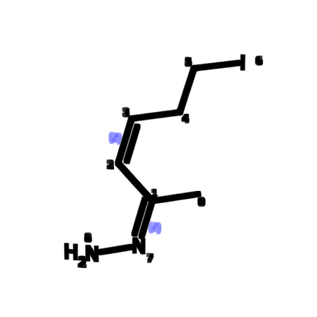 CC(/C=C\CCI)=N/N